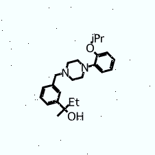 CCC(C)(O)c1cccc(CN2CCN(c3ccccc3OC(C)C)CC2)c1